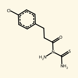 NC(=S)N(N)C(=O)CCc1ccc(Cl)cc1